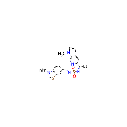 CCCN1CSc2cc(C=NS(=O)(=O)N=C(CC)c3ccc(N(C)C)cn3)ccc21